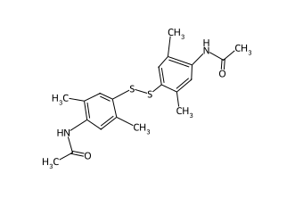 CC(=O)Nc1cc(C)c(SSc2cc(C)c(NC(C)=O)cc2C)cc1C